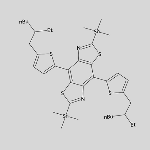 CCCCC(CC)Cc1ccc(-c2c3n[c]([Sn]([CH3])([CH3])[CH3])sc3c(-c3ccc(CC(CC)CCCC)s3)c3n[c]([Sn]([CH3])([CH3])[CH3])sc23)s1